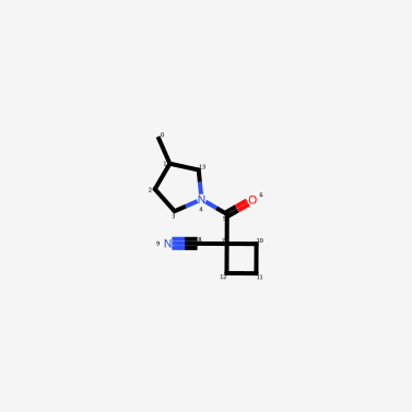 CC1CCN(C(=O)C2(C#N)CCC2)C1